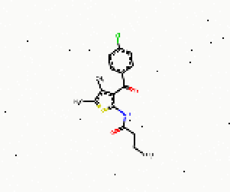 Cc1sc(NC(=O)CCC(=O)O)c(C(=O)c2ccc(Cl)cc2)c1C